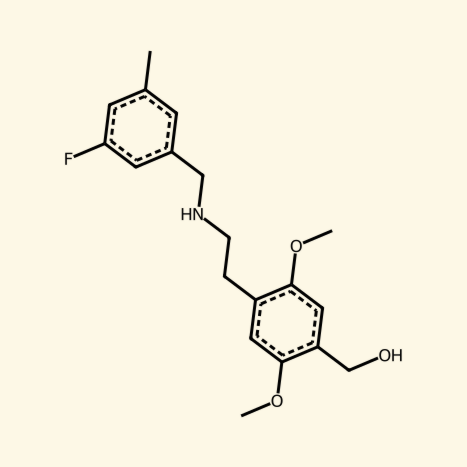 COc1cc(CCNCc2cc(C)cc(F)c2)c(OC)cc1CO